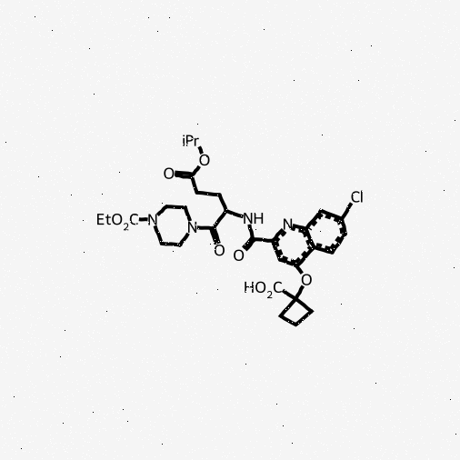 CCOC(=O)N1CCN(C(=O)C(CCC(=O)OC(C)C)NC(=O)c2cc(OC3(C(=O)O)CCC3)c3ccc(Cl)cc3n2)CC1